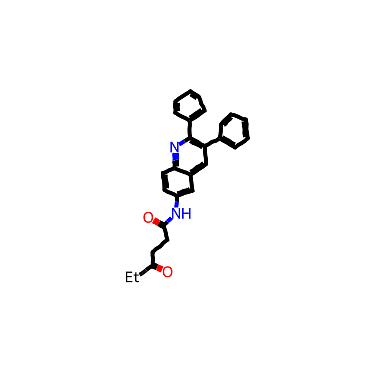 CCC(=O)CCC(=O)Nc1ccc2nc(-c3ccccc3)c(-c3ccccc3)cc2c1